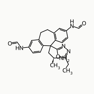 CCc1nnc(C2(C[C@H](C)N)c3ccc(NC=O)cc3CCc3cc(NC=O)ccc32)o1